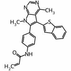 C=CC(=O)Nc1ccc(-c2c(-c3cc4ccccc4s3)c3c(C)ncnc3n2C)cc1